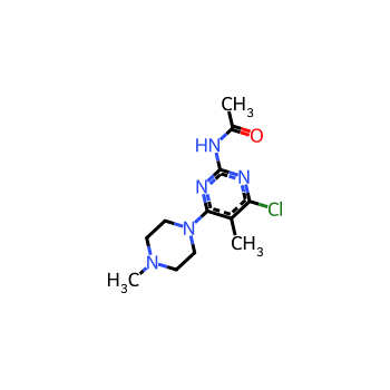 CC(=O)Nc1nc(Cl)c(C)c(N2CCN(C)CC2)n1